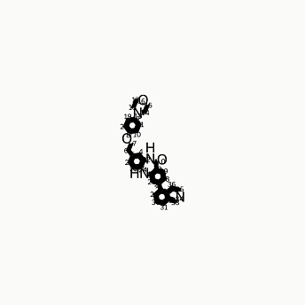 O=C1Nc2cc(CCOc3ccc(N4CCOCC4)cc3)ccc2Nc2cc(-c3cccc4cnccc34)ccc21